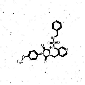 O=C1CN(Cc2ccncc2NS(=O)(=O)NCc2ccccc2)C(=O)N1c1ccc(OC(F)(F)F)cc1